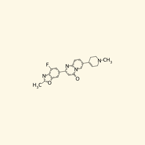 Cc1nc2c(F)cc(-c3cc(=O)n4cc(C5=CCN(C)CC5)ccc4n3)cc2o1